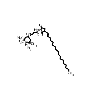 CCCCCCCCCCCCCCCCC=CC1CC(=O)N(NC(=O)CCNC2CC(C)(C)NC(C)(C)C2)C1=O